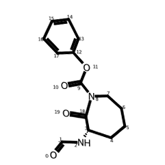 O=[C]N[C@H]1CCCCN(C(=O)Oc2ccccc2)C1=O